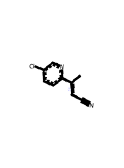 C/C(=C\C#N)c1ccc(Cl)cn1